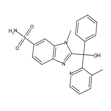 Cc1cccnc1C(O)(c1ccccc1)c1nc2ccc(S(N)(=O)=O)cc2n1C